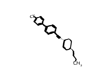 CC/C=C/[C@H]1CC[C@H](C#Cc2ccc(-c3ccc(Cl)cc3)cc2)CC1